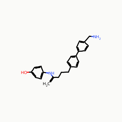 C=C(CCCc1ccc(-c2ccc(CN)cc2)cc1)Nc1ccc(O)cc1